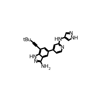 CC(C)(C)C#Cc1cc(-c2ccnc(Nc3cn[nH]c3)c2)cc2c(N)n[nH]c12